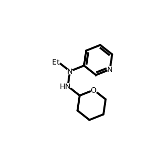 CCN(NC1CCCCO1)c1[c]nccc1